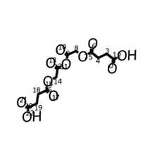 O=C(O)CCC(=O)OCC(=O)OC(=O)COC(=O)CCC(=O)O